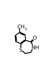 Cc1ccc2c(c1)C(=O)NCCS2